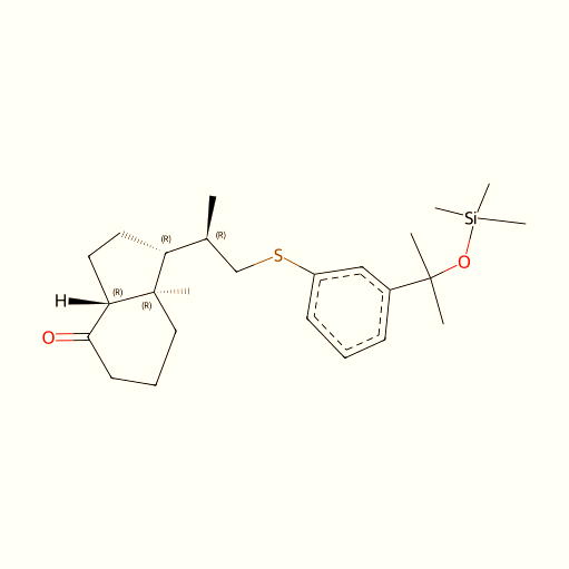 C[C@@H](CSc1cccc(C(C)(C)O[Si](C)(C)C)c1)[C@H]1CC[C@H]2C(=O)CCC[C@]12C